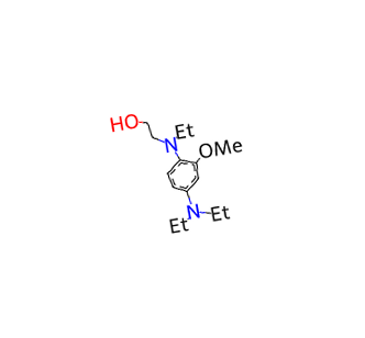 CCN(CC)c1ccc(N(CC)CCO)c(OC)c1